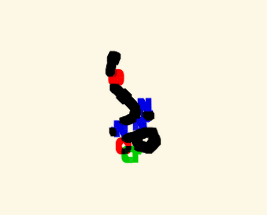 C#CCOCC#Cc1ncn2c1CN(C)C(=O)c1c(Cl)cccc1-2